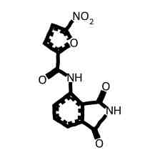 O=C(Nc1cccc2c1C(=O)NC2=O)c1ccc([N+](=O)[O-])o1